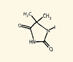 CC1(C)C(=O)NC(=O)N1I